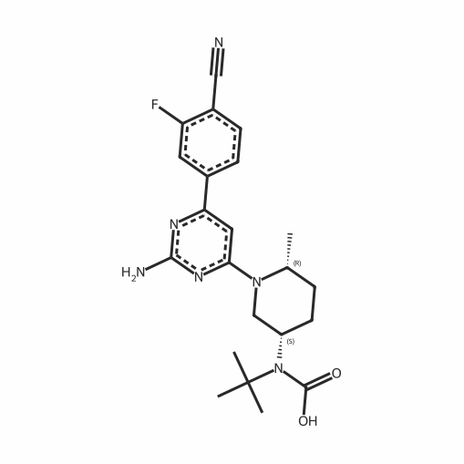 C[C@@H]1CC[C@H](N(C(=O)O)C(C)(C)C)CN1c1cc(-c2ccc(C#N)c(F)c2)nc(N)n1